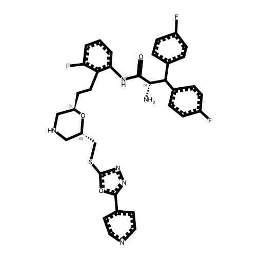 N[C@H](C(=O)Nc1cccc(F)c1CC[C@@H]1CNC[C@@H](CSc2nnc(-c3ccncc3)o2)O1)C(c1ccc(F)cc1)c1ccc(F)cc1